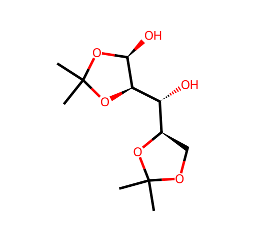 CC1(C)O[C@H]([C@H](O)[C@H]2COC(C)(C)O2)[C@H](O)O1